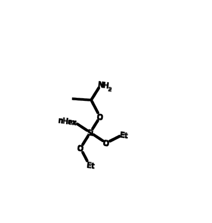 CCCCCC[Si](OCC)(OCC)OC(C)N